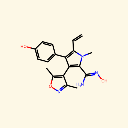 C=Cc1c(-c2ccc(O)cc2)c(-c2c(C)noc2C)c(/C(N)=N/O)n1C